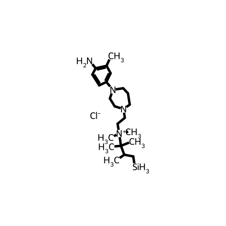 Cc1cc(N2CCCN(CC[N+](C)(C)C(C)(C)C(C)C[SiH3])CC2)ccc1N.[Cl-]